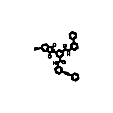 C#Cc1ccc2c(c1)C(=O)N(c1cc(C(=O)Nc3cccc(C#Cc4ccccc4)c3)cc(C(=O)Nc3cccc(-c4ccccc4)c3)c1)C2=O